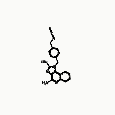 CCCCc1nc2c(N)nc3ccccc3c2n1Cc1ccc(CN=C=S)cc1